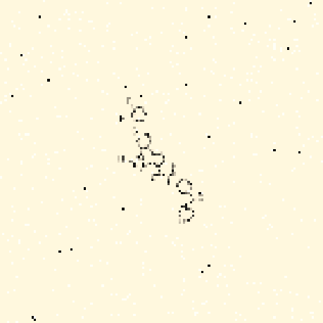 COc1nc(Oc2cccc(F)c2F)ccc1-n1ncc(C(=O)c2cc3cc(C(=O)N4CCOCC4)ccc3[nH]2)c1N